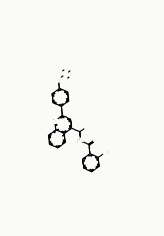 Cc1ccccc1C(=O)NC(C)c1cc(-c2ccc(NS(C)(=O)=O)cc2)nc2ccccc12